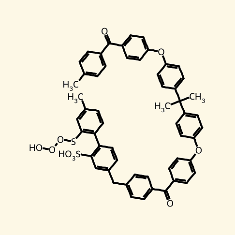 Cc1ccc(C(=O)c2ccc(Oc3ccc(C(C)(C)c4ccc(Oc5ccc(C(=O)c6ccc(Cc7ccc(-c8ccc(C)cc8SOOO)c(S(=O)(=O)O)c7)cc6)cc5)cc4)cc3)cc2)cc1